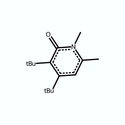 Cc1cc(C(C)(C)C)c(C(C)(C)C)c(=O)n1C